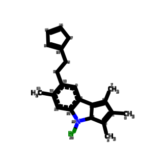 CC1=C(C)C2C(=C1C)c1cc(CCC3=CC=CC3)c(C)cc1N2Br